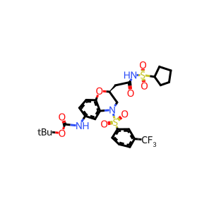 CC(C)(C)OC(=O)Nc1ccc2c(c1)N(S(=O)(=O)c1cccc(C(F)(F)F)c1)C[C@H](CC(=O)NS(=O)(=O)C1CCCC1)O2